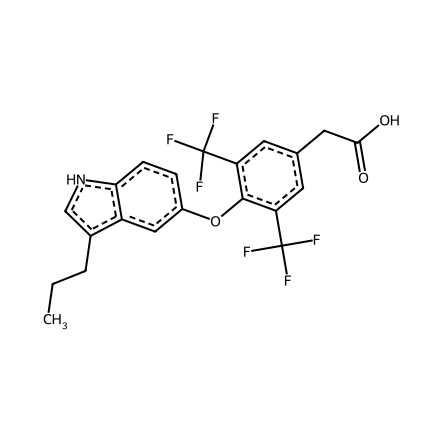 CCCc1c[nH]c2ccc(Oc3c(C(F)(F)F)cc(CC(=O)O)cc3C(F)(F)F)cc12